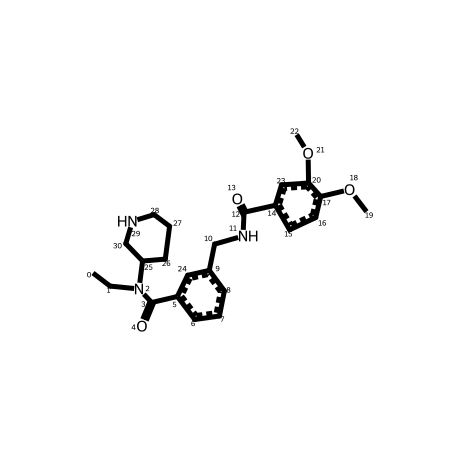 CCN(C(=O)c1cccc(CNC(=O)c2ccc(OC)c(OC)c2)c1)C1CCCNC1